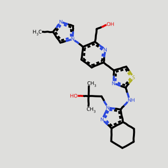 Cc1cn(-c2ccc(-c3csc(Nc4c5c(nn4CC(C)(C)O)CCCC5)n3)nc2CO)cn1